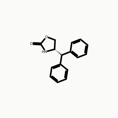 O=C1N[C@@H](C(c2ccccc2)c2ccccc2)CO1